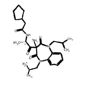 CC(C)CN1C(=O)C(N)(C(=O)[C@H](C)NC(=O)CC2CCCC2)C(=O)N(CC(C)C)c2ccccc21